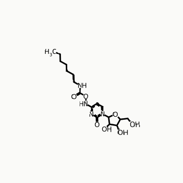 CCCCCCCNC(=O)ONc1ccn(C2OC(CO)C(O)C2O)c(=O)n1